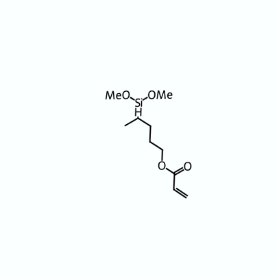 C=CC(=O)OCCCC(C)[SiH](OC)OC